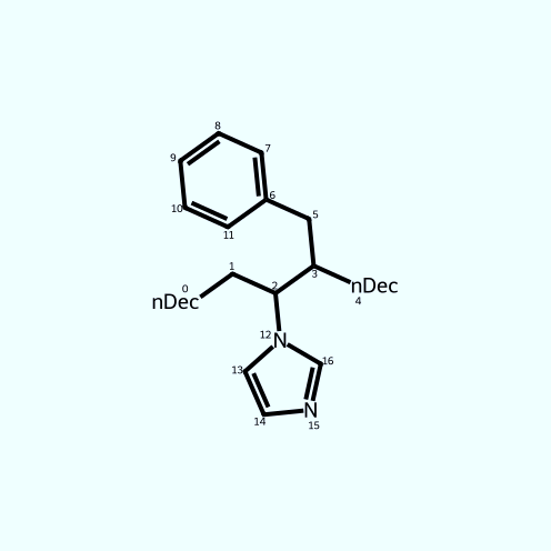 CCCCCCCCCCCC(C(CCCCCCCCCC)Cc1ccccc1)n1ccnc1